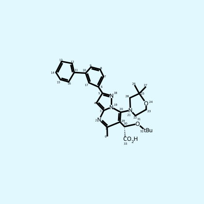 Cc1nc2cc(-c3cccc(-c4ccccc4)c3)nn2c(N2CCOC(C)(C)C2)c1[C@H](OC(C)(C)C)C(=O)O